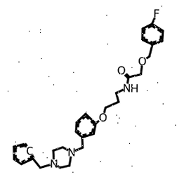 O=C(COCc1ccc(F)cc1)NCCCOc1cccc(CN2CCN(Cc3ccccc3)CC2)c1